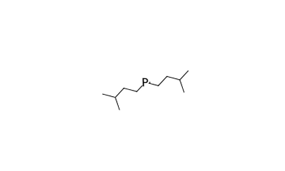 CC(C)CC[P]CCC(C)C